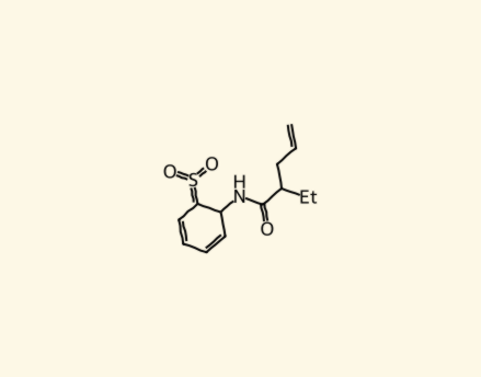 C=CCC(CC)C(=O)NC1C=CC=CC1=S(=O)=O